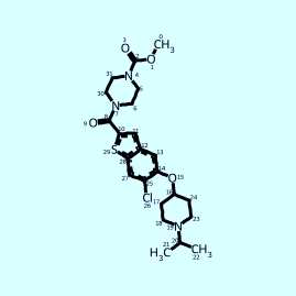 COC(=O)N1CCN(C(=O)c2cc3cc(OC4CCN(C(C)C)CC4)c(Cl)cc3s2)CC1